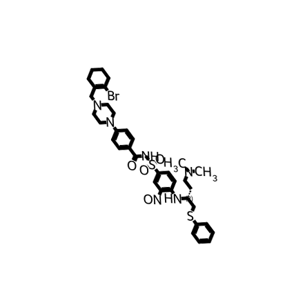 CN(C)CC[C@H](CSc1ccccc1)Nc1ccc(S(=O)(=O)NC(=O)c2ccc(N3CCN(CC4=C(Br)CCCC4)CC3)cc2)cc1N=O